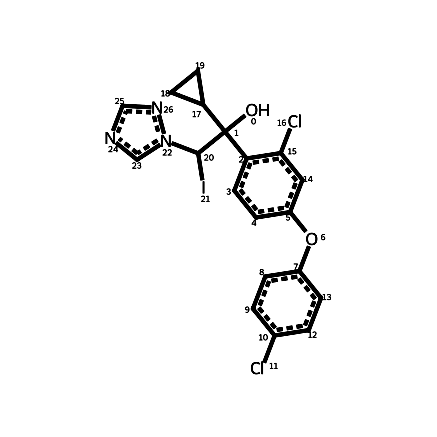 OC(c1ccc(Oc2ccc(Cl)cc2)cc1Cl)(C1CC1)C(I)n1cncn1